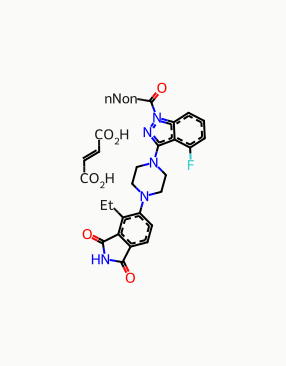 CCCCCCCCCC(=O)n1nc(N2CCN(c3ccc4c(c3CC)C(=O)NC4=O)CC2)c2c(F)cccc21.O=C(O)C=CC(=O)O